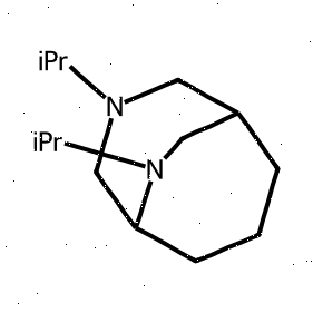 CC(C)N1CC2CCCC(C1)N(C(C)C)C2